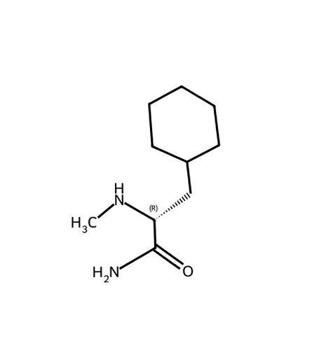 CN[C@H](CC1CCCCC1)C(N)=O